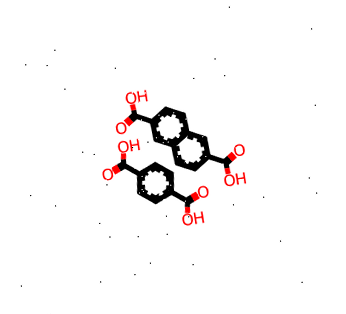 O=C(O)c1ccc(C(=O)O)cc1.O=C(O)c1ccc2cc(C(=O)O)ccc2c1